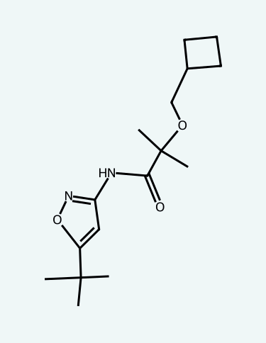 CC(C)(OCC1CCC1)C(=O)Nc1cc(C(C)(C)C)on1